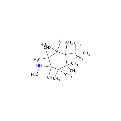 CNC1(C)C(C)(C)C(C)(C)C(C)(C(C)(C)C)C(C)(C)C1(C)C